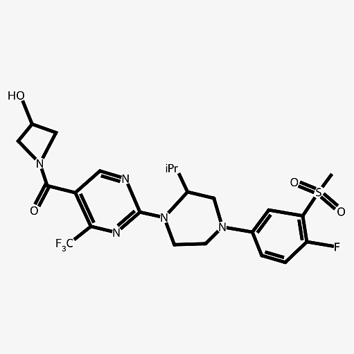 CC(C)C1CN(c2ccc(F)c(S(C)(=O)=O)c2)CCN1c1ncc(C(=O)N2CC(O)C2)c(C(F)(F)F)n1